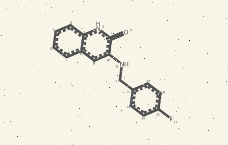 O=c1[nH]c2ccccc2cc1NCc1ccc(F)cc1